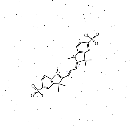 CN1/C(=C\C=C\C2=[N+](C)c3ccc(S(=O)(=O)I)cc3C2(C)C)C(C)(C)c2cc(S(=O)(=O)Cl)ccc21